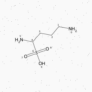 NCCCC(N)S(=O)(=O)O